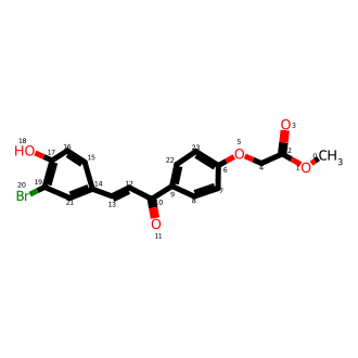 COC(=O)COc1ccc(C(=O)C=Cc2ccc(O)c(Br)c2)cc1